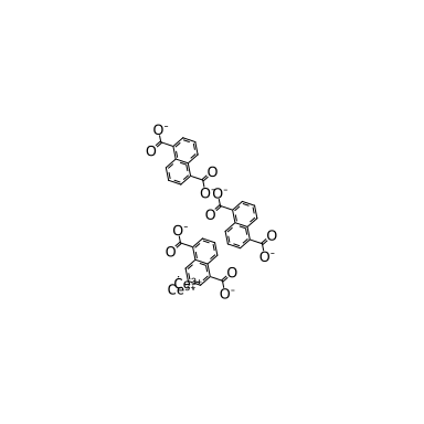 O=C([O-])c1cccc2c(C(=O)[O-])cccc12.O=C([O-])c1cccc2c(C(=O)[O-])cccc12.O=C([O-])c1cccc2c(C(=O)[O-])cccc12.[Ce+3].[Ce+3]